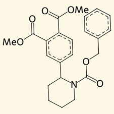 COC(=O)c1ccc(C2CCCCN2C(=O)OCc2ccccc2)cc1C(=O)OC